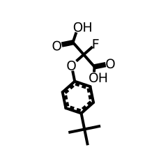 CC(C)(C)c1ccc(OC(F)(C(=O)O)C(=O)O)cc1